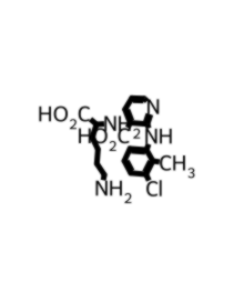 Cc1c(Cl)cccc1Nc1ncccc1C(=O)O.NCCCCC(N)C(=O)O